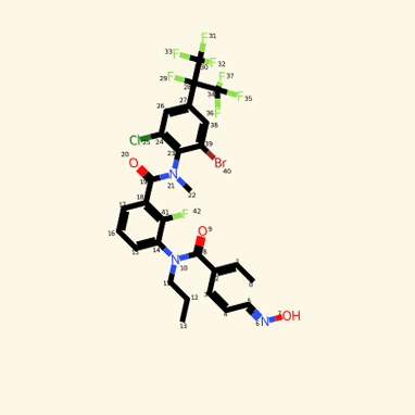 C\C=C(/C=C\C=N\O)C(=O)N(CCC)c1cccc(C(=O)N(C)c2c(Cl)cc(C(F)(C(F)(F)F)C(F)(F)F)cc2Br)c1F